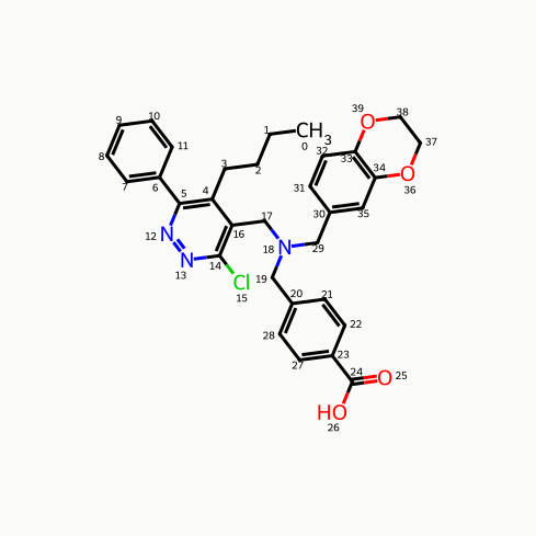 CCCCc1c(-c2ccccc2)nnc(Cl)c1CN(Cc1ccc(C(=O)O)cc1)Cc1ccc2c(c1)OCCO2